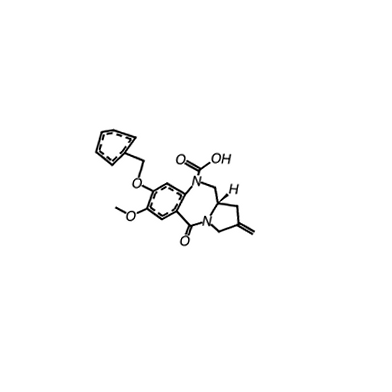 C=C1C[C@H]2CN(C(=O)O)c3cc(OCc4ccccc4)c(OC)cc3C(=O)N2C1